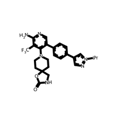 CC(C)n1cc(-c2ccc(-c3cnc(N)c(C(F)(F)F)c3N3CCC4(CC3)CNC(=O)O4)cc2)cn1